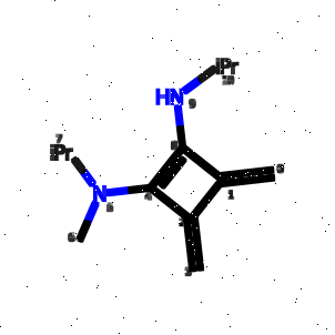 C=C1C(=C)C(N(C)C(C)C)=C1NC(C)C